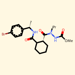 COC(=O)NN(C(=O)[C@@H]1CCCCC1C(=O)N[C@@H](C)c1ccc(Br)cc1)C(C)C